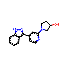 OC1CCN(c2cc(-c3n[nH]c4ccccc34)ccn2)C1